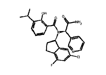 CC(C)c1cccc(C(=O)N([C@@H]2CCc3c(F)cc(Cl)cc32)[C@@H](C(N)=O)c2cccnc2)c1O